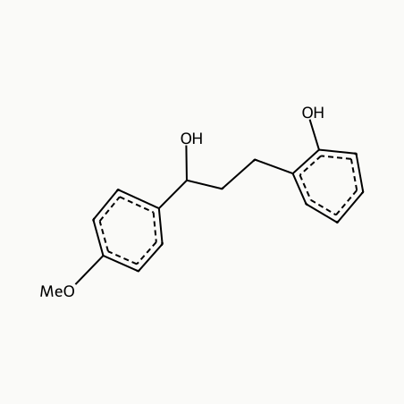 COc1ccc(C(O)CCc2ccccc2O)cc1